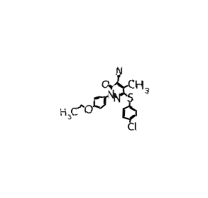 CCOc1ccc(-n2nc(Sc3ccc(Cl)cc3)c(C)c(C#N)c2=O)cc1